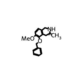 COc1ccc2c(c1OCc1ccccc1)C[C@@H](C)NC2